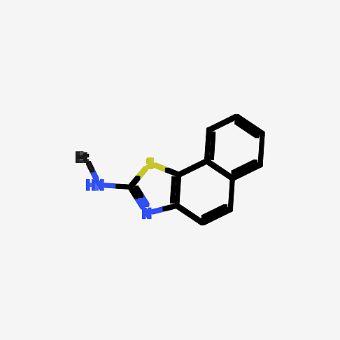 CCNc1nc2ccc3ccccc3c2s1